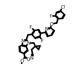 COC(=O)c1ccc2nc(Cc3cc(F)c(-c4cccc(OCc5ccc(Cl)cc5F)n4)cc3F)n(CC3(CC#N)CC3)c2c1